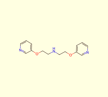 c1cncc(OCCNCCOc2cccnc2)c1